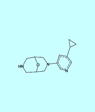 c1ncc(N2CC3CNCC(C2)O3)cc1C1CC1